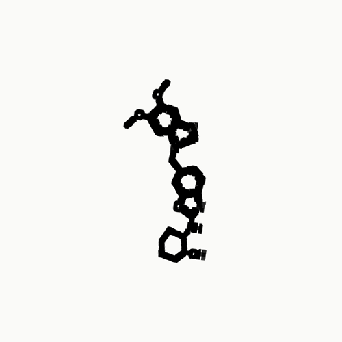 COc1cc2ncn(Cc3ccc4nc(N[C@@H]5CCCC[C@H]5O)oc4c3)c2cc1OC